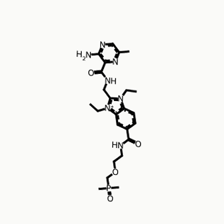 CCn1c(CNC(=O)c2nc(C)cnc2N)[n+](CC)c2cc(C(=O)NCCOCP(C)(C)=O)ccc21